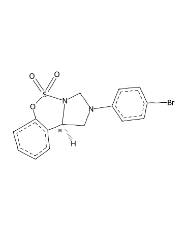 O=S1(=O)Oc2ccccc2[C@@H]2CN(c3ccc(Br)cc3)CN21